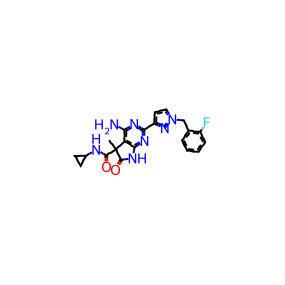 CC1(C(=O)NC2CC2)C(=O)Nc2nc(-c3ccn(Cc4ccccc4F)n3)nc(N)c21